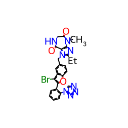 CCc1nc2c(n1Cc1ccc3oc(-c4ccccc4-n4cnnn4)c(Br)c3c1)C(=O)NCC(=O)N2C